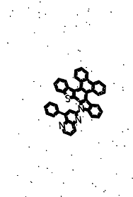 c1ccc(-c2cc(-n3c4ccccc4c4c5c6ccccc6c6ccccc6c5c5c6ccccc6sc5c43)nc3cccnc23)cc1